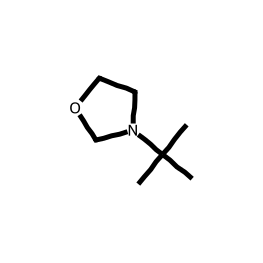 CC(C)(C)N1CCOC1